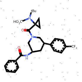 CC(C)(C)N(C(=O)O)C1(C(=O)N2CC(NC(=O)c3ccccc3)CC(c3ccc(C(F)(F)F)cc3)C2)CC1